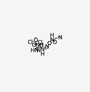 CN(C)C/C=C/C(=O)Nc1ccc(N2CC[C@@H](NC(=O)c3n[nH]cc3NC(=O)c3c(Cl)cccc3Cl)C2)cc1